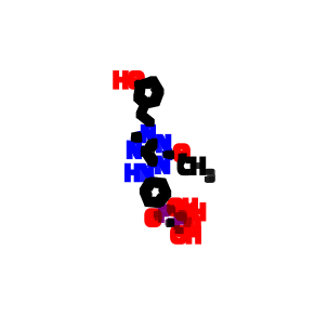 COc1nc(Nc2ccc(P(=O)(O)CP(=O)(O)O)cc2)c2ncn(CCc3cccc(O)c3)c2n1